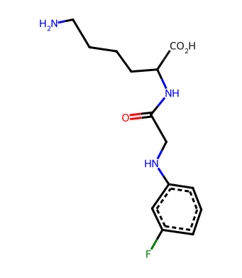 NCCCCC(NC(=O)CNc1cccc(F)c1)C(=O)O